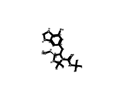 CC(C)(C)OC(=O)N1C(Cc2cc(F)c3c(c2)OCO3)[C@@H](CO)OC1(C)C